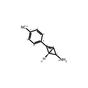 N#Cc1ccc(C2=C3C(N)[C@H]23)cc1